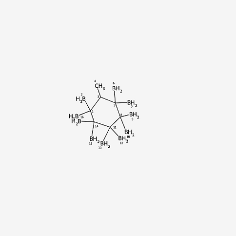 BC1(B)C(C)C(B)(B)C(B)(B)C(B)(B)C1(B)B